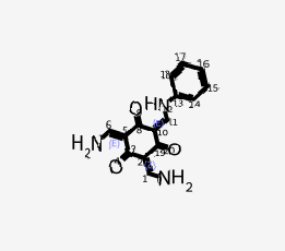 N/C=C1/C(=O)/C(=C\N)C(=O)/C(=C\Nc2ccccc2)C1=O